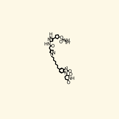 CC(C)NC(=O)O[C@H]1CCC(c2cc(NC(=O)Cc3cnn(CCCCCCCc4ccc5c(c4)n(C)c(=O)n5C4CCC(=O)NC4=O)c3)n[nH]2)C1